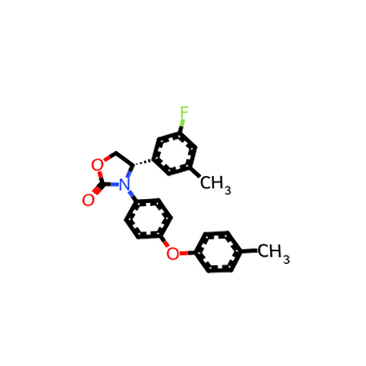 Cc1ccc(Oc2ccc(N3C(=O)OC[C@@H]3c3cc(C)cc(F)c3)cc2)cc1